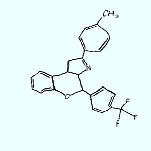 Cc1ccc(C2=NC3C(C2)c2ccccc2OC3c2ccc(C(F)(F)F)cc2)cc1